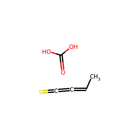 CC=C=C=S.O=C(O)O